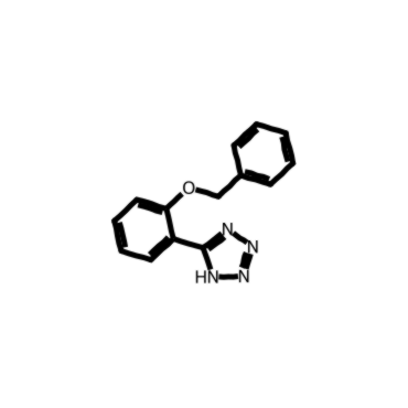 c1ccc(COc2ccccc2-c2nnn[nH]2)cc1